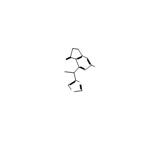 CC(c1c[nH]cn1)c1cc(F)cc2c1C(=O)CC2